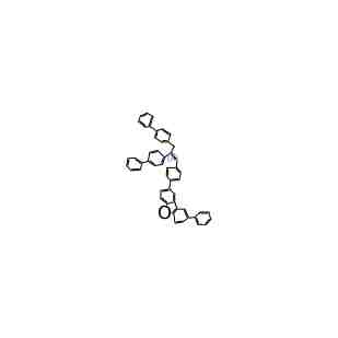 C(=C(\Cc1ccc(-c2ccccc2)cc1)c1ccc(-c2ccccc2)cc1)/c1ccc(-c2ccc3oc4ccc(-c5ccccc5)cc4c3c2)cc1